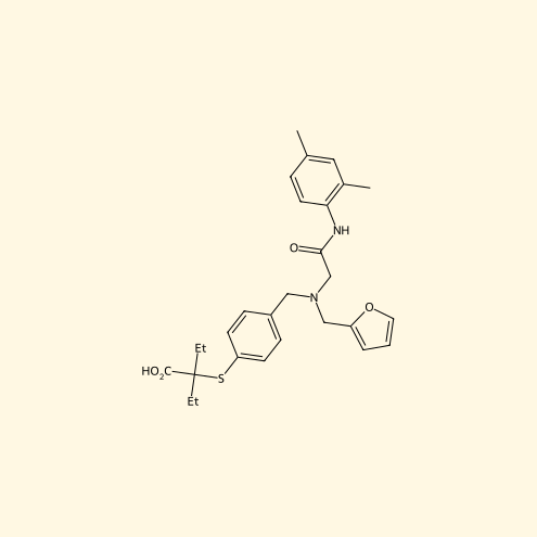 CCC(CC)(Sc1ccc(CN(CC(=O)Nc2ccc(C)cc2C)Cc2ccco2)cc1)C(=O)O